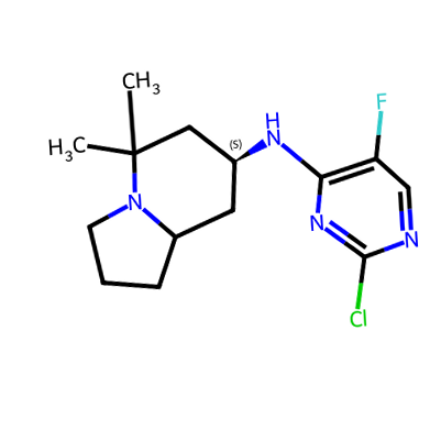 CC1(C)C[C@@H](Nc2nc(Cl)ncc2F)CC2CCCN21